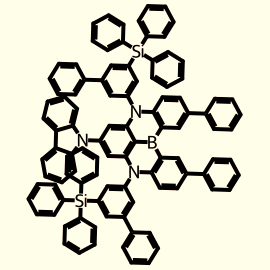 c1ccc(-c2cc(N3c4ccc(-c5ccccc5)cc4B4c5cc(-c6ccccc6)ccc5N(c5cc(-c6ccccc6)cc([Si](c6ccccc6)(c6ccccc6)c6ccccc6)c5)c5cc(-n6c7ccccc7c7ccccc76)cc3c54)cc([Si](c3ccccc3)(c3ccccc3)c3ccccc3)c2)cc1